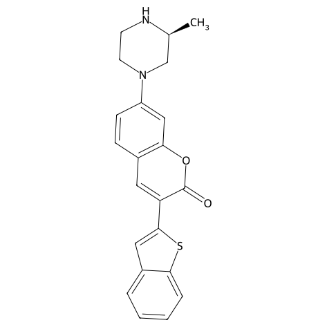 C[C@H]1CN(c2ccc3cc(-c4cc5ccccc5s4)c(=O)oc3c2)CCN1